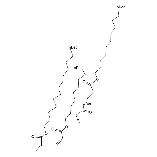 C=CC(=O)OC.C=CC(=O)OCCCCCCCCCCCCCCCCCC.C=CC(=O)OCCCCCCCCCCCCCCCCCCCC.C=CC(=O)OCCCCCCCCCCCCCCCCCCCCCC